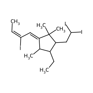 C/C=C(I)\C=C1/C(C)C(CC)C(CC(I)I)C1(C)C